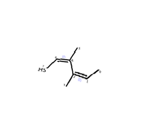 C/C=C(C)\C(C)=C/S